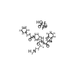 NCCCC[C@H](NC(=O)[C@H]1CCCN(C(=O)CCc2ccccc2)C1)C(=O)c1nc2ccccc2s1.O=C(O)C(F)(F)F